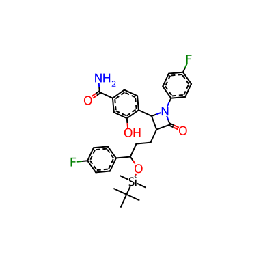 CC(C)(C)[Si](C)(C)OC(CCC1C(=O)N(c2ccc(F)cc2)C1c1ccc(C(N)=O)cc1O)c1ccc(F)cc1